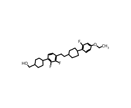 CCOc1ccc(C2CCC(CCc3ccc(C4CCC(CO)CC4)c(F)c3F)CC2)c(F)c1